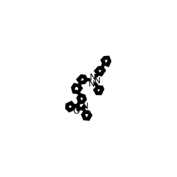 c1ccc(-c2ccc(-c3nc(-c4ccccc4)nc(-c4cccc(-c5cccc(-c6ccc7nc(-c8ccccc8)c8oc9ccccc9c8c7c6)c5)c4)n3)cc2)cc1